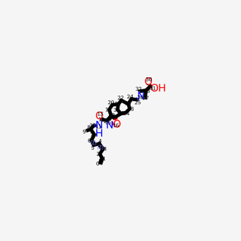 C=CC/C=C\C=C/CC(C)CNC(=O)c1noc2c1CCC1CC(CCN3CC(C(=O)O)C3)CCC2C1